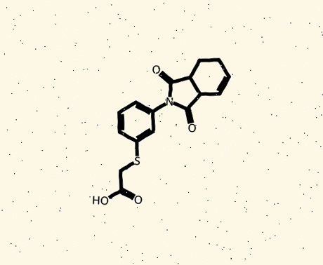 O=C(O)CSc1cccc(N2C(=O)C3C=CCCC3C2=O)c1